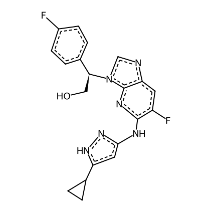 OC[C@@H](c1ccc(F)cc1)n1cnc2cc(F)c(Nc3cc(C4CC4)[nH]n3)nc21